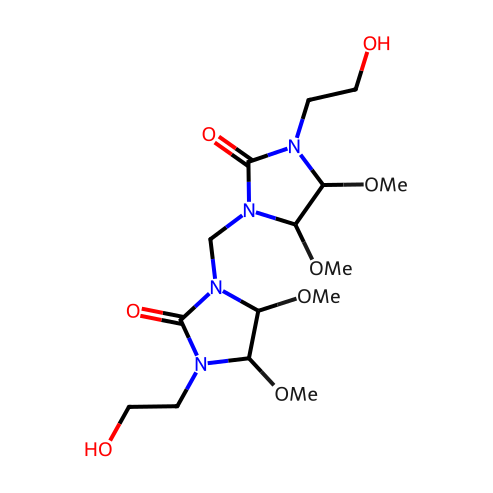 COC1C(OC)N(CN2C(=O)N(CCO)C(OC)C2OC)C(=O)N1CCO